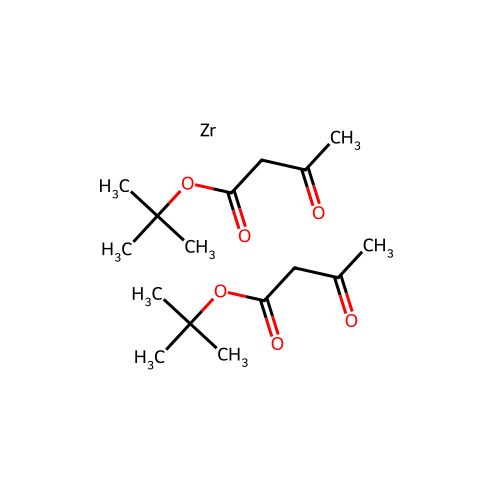 CC(=O)CC(=O)OC(C)(C)C.CC(=O)CC(=O)OC(C)(C)C.[Zr]